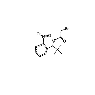 CC(C)(C)C(OC(=O)CBr)c1ccccc1[N+](=O)[O-]